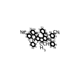 CC1(C)c2cc(N(c3ccccc3)c3ccc(C#N)cc3)c3c(sc4ccccc43)c2-c2c1cc(N(c1ccccc1)c1ccc(C#N)cc1)c1sc3ccccc3c21